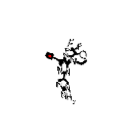 Nc1ncc(-c2nc(N3CC4CC3C4)c3nc4n(c3n2)CCOC4C(F)(F)F)cn1